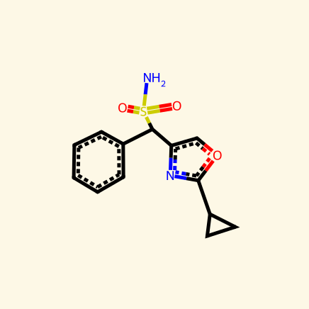 NS(=O)(=O)C(c1ccccc1)c1coc(C2CC2)n1